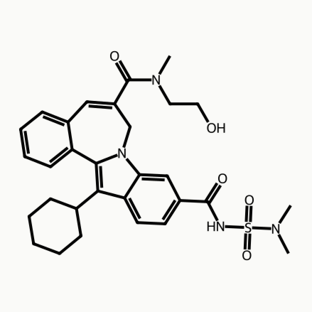 CN(CCO)C(=O)C1=Cc2ccccc2-c2c(C3CCCCC3)c3ccc(C(=O)NS(=O)(=O)N(C)C)cc3n2C1